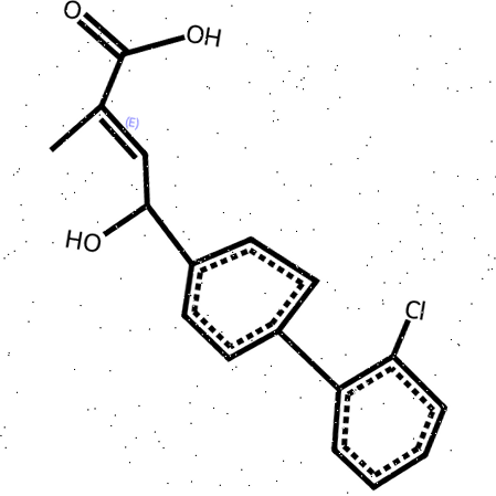 C/C(=C\C(O)c1ccc(-c2ccccc2Cl)cc1)C(=O)O